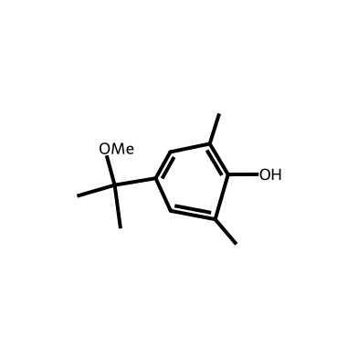 COC(C)(C)c1cc(C)c(O)c(C)c1